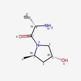 C[C@@H]1C[C@@H](O)CN1C(=O)[C@@H](N)C(C)(C)C